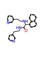 O=C(NCCc1cccnc1)C(NCCc1cccnc1)c1cccc2ccccc12